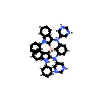 c1ccc(-n2c3c(c4ccccc42)N(c2cncnc2)c2cccc4c2B3c2c(n(-c3ccccc3)c3ccccc23)N4c2cncnc2)cc1